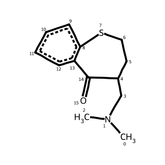 CN(C)CC1CCSc2ccccc2C1=O